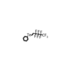 FC(F)(F)C(F)(F)C(F)(F)C(F)(F)C=C[Te]c1ccccc1